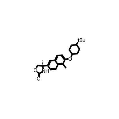 Cc1c(OC2CCC(C(C)(C)C)CC2)ccc2cc([C@]3(C)COC(=O)N3)ccc12